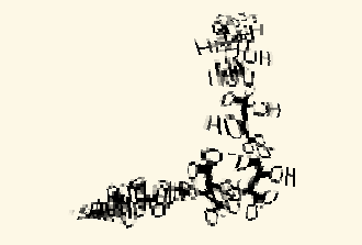 O=C([O-])C(O)C(O)C(=O)[O-].O=C([O-])C(O)C(O)C(=O)[O-].O=C([O-])C(O)C(O)C(=O)[O-].[O-2].[O-2].[O-2].[O]=[Mo](=[O])([OH])[OH].[O]=[Mo](=[O])([OH])[OH].[O]=[Mo](=[O])([OH])[OH].[O]=[Mo](=[O])([OH])[OH].[Sb+3].[Sb+3].[Sb+3].[Sb+3]